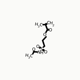 C=C(C)C(=O)OCCCS(=O)(=O)NC(C)=O